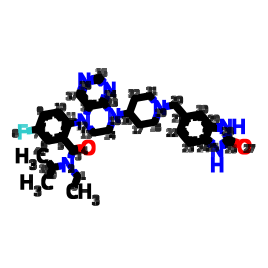 CCN(C(=O)c1cc(F)ccc1N1CCN(C2CCN(Cc3ccc4[nH]c(=O)[nH]c4c3)CC2)c2ncncc21)C(C)C